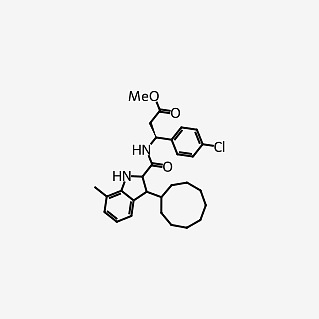 COC(=O)C[C@H](NC(=O)C1Nc2c(C)cccc2C1C1CCCCCCCC1)c1ccc(Cl)cc1